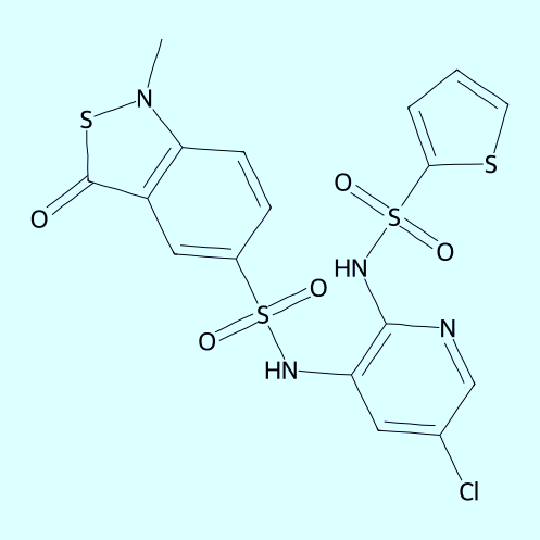 Cn1sc(=O)c2cc(S(=O)(=O)Nc3cc(Cl)cnc3NS(=O)(=O)c3cccs3)ccc21